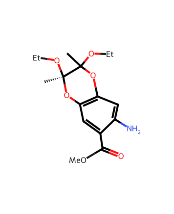 CCOC1(C)Oc2cc(N)c(C(=O)OC)cc2O[C@@]1(C)OCC